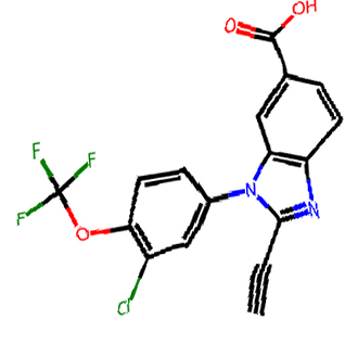 C#Cc1nc2ccc(C(=O)O)cc2n1-c1ccc(OC(F)(F)F)c(Cl)c1